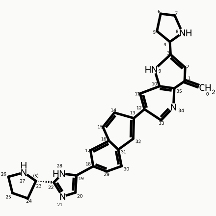 C=C1C=C(C2CCCN2)Nc2cc(-c3ccc4cc(-c5cnc([C@@H]6CCCN6)[nH]5)ccc4c3)cnc21